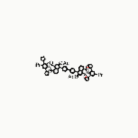 CC(=O)Oc1cc2c3c(cccc3c1-c1ccc(-c3ccc(-c4c(OC(C)=O)cc5c6c(cccc46)C(=O)N(c4c(C6=CC=CC6)cc(C(C)C)c(C6=CC=CC6)c4C)C5=O)cc3)cc1)C(=O)N(c1c(C3=CC=CC3)cc(C(C)C)cc1C1=CC=CC1)C2=O